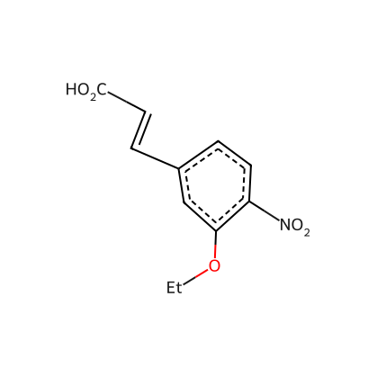 CCOc1cc(/C=C/C(=O)O)ccc1[N+](=O)[O-]